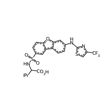 CC(C)C(NS(=O)(=O)c1ccc2oc3cc(Nc4nc(C(F)(F)F)cs4)ccc3c2c1)C(=O)O